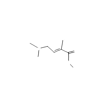 COC(=O)C(C)=CCN(C)C